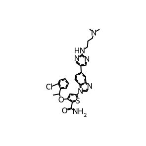 CC(Oc1cc(-n2cnc3cc(-c4cnc(NCCCN(C)C)nc4)ccc32)sc1C(N)=O)c1ccccc1Cl